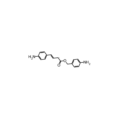 Nc1ccc(/C=C/[CH]C(=O)OCc2ccc(N)cc2)cc1